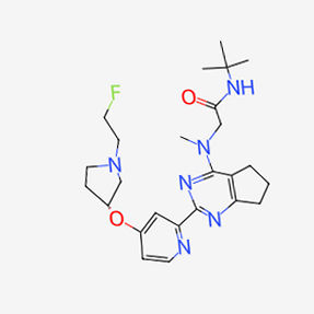 CN(CC(=O)NC(C)(C)C)c1nc(-c2cc(O[C@@H]3CCN(CCF)C3)ccn2)nc2c1CCC2